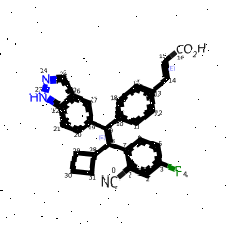 N#Cc1cc(F)ccc1/C(=C(\c1ccc(/C=C/C(=O)O)cc1)c1ccc2[nH]ncc2c1)C1CCC1